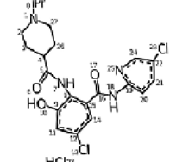 CC(C)N1CCC(C(=O)Nc2c(O)cc(Cl)cc2C(=O)Nc2ccc(Cl)cn2)CC1.Cl